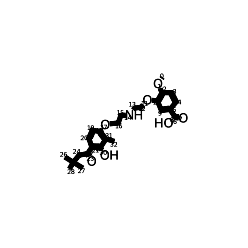 COc1ccc(C(=O)O)cc1OCCNCCOc1ccc(C(=O)CC(C)(C)C)c(O)c1C